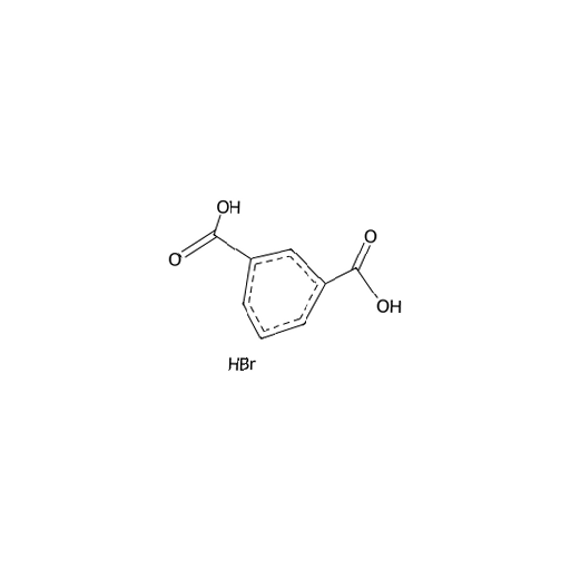 Br.O=C(O)c1cccc(C(=O)O)c1